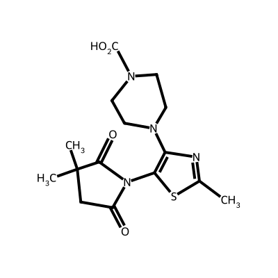 Cc1nc(N2CCN(C(=O)O)CC2)c(N2C(=O)CC(C)(C)C2=O)s1